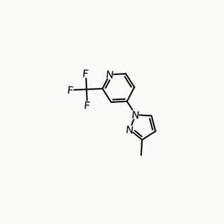 Cc1ccn(-c2ccnc(C(F)(F)F)c2)n1